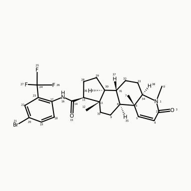 CN1C(=O)C=C[C@]2(C)[C@H]3CC[C@]4(C)[C@@H](C(=O)Nc5ccc(Br)cc5C(F)(F)F)CC[C@H]4[C@@H]3CC[C@@H]12